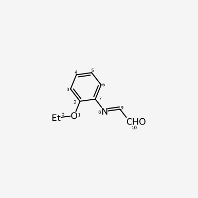 CCOc1ccccc1N=CC=O